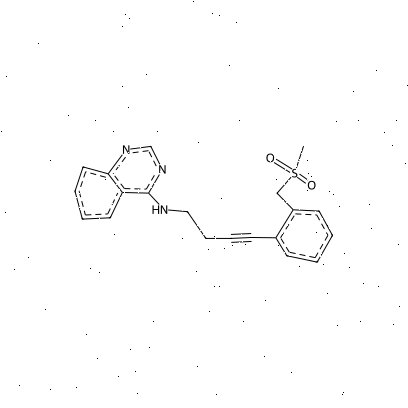 CS(=O)(=O)Cc1ccccc1C#CCCNc1ncnc2ccccc12